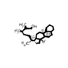 C=C(CC[C@@H](C)[C@H]1CC[C@H]2C3=CCC4CCCC[C@]4(C)[C@H]3CC[C@]12C)C(C)CO